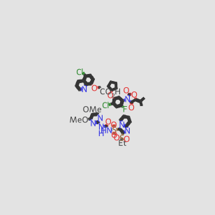 CC(C)=C1OC(=O)N(c2cc(OC3CCCC3)c(Cl)cc2F)C1=O.CCS(=O)(=O)c1nc2ccccn2c1S(=O)(=O)NC(=O)Nc1nc(OC)cc(OC)n1.O=C(O)COc1ccc(Cl)c2cccnc12